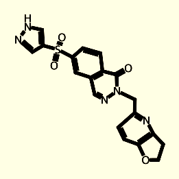 O=c1c2ccc(S(=O)(=O)c3cn[nH]c3)cc2cnn1Cc1ccc2c(n1)CCO2